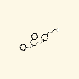 ClCCCN1CCN(CCCN(Cc2ccccc2)Cc2ccccc2)CC1